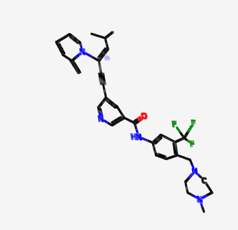 C=C1C=CC=CN1/C(C#Cc1cncc(C(=O)Nc2ccc(CN3CCN(C)CC3)c(C(F)(F)F)c2)c1)=C\C(C)C